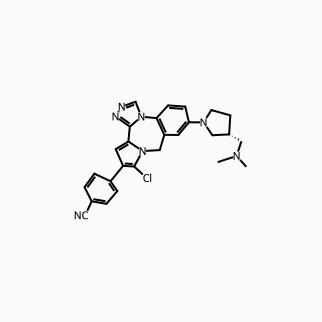 CN(C)C[C@H]1CCN(c2ccc3c(c2)Cn2c(cc(-c4ccc(C#N)cc4)c2Cl)-c2nncn2-3)C1